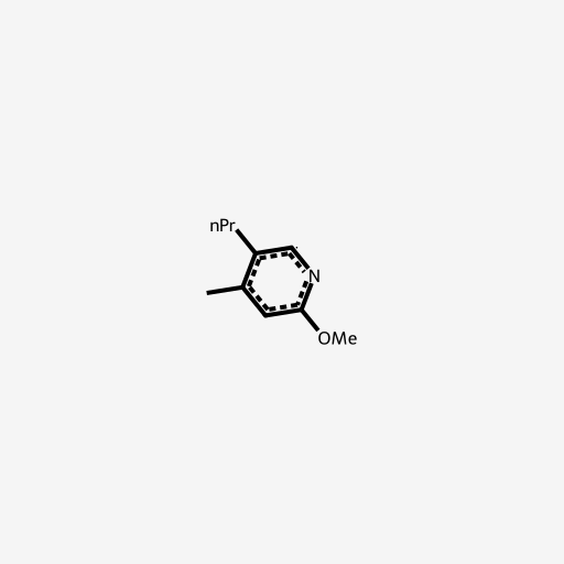 CCCc1[c]nc(OC)cc1C